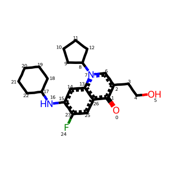 O=c1c(CCO)cn(C2CCCC2)c2cc(NC3CCCCC3)c(F)cc12